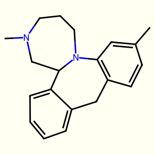 Cc1ccc2c(c1)N1CCCN(C)CC1c1ccccc1C2